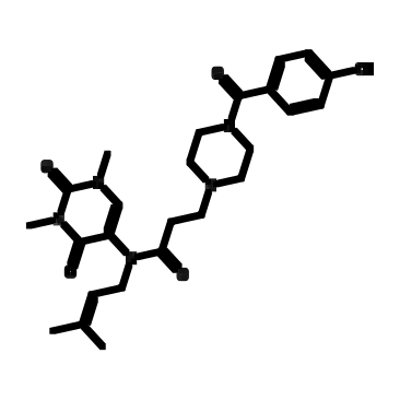 CC(C)=CCN(C(=O)CCN1CCN(C(=O)c2ccc(C#N)cc2)CC1)c1cn(C)c(=O)n(C)c1=O